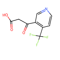 O=C(O)CC(=O)c1cnccc1C(F)(F)F